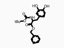 CC(C)(C)OC(=O)NC(Cc1ccc(O)c(O)c1)C(=O)OCc1ccccc1